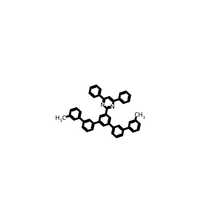 Cc1cccc(-c2cccc(-c3cc(-c4cccc(-c5cccc(C)c5)c4)cc(-c4nc(-c5ccccc5)cc(-c5ccccc5)n4)c3)c2)c1